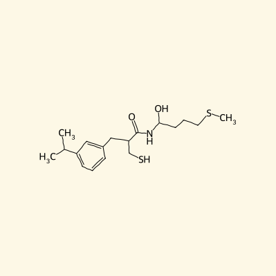 CSCCCC(O)NC(=O)C(CS)Cc1cccc(C(C)C)c1